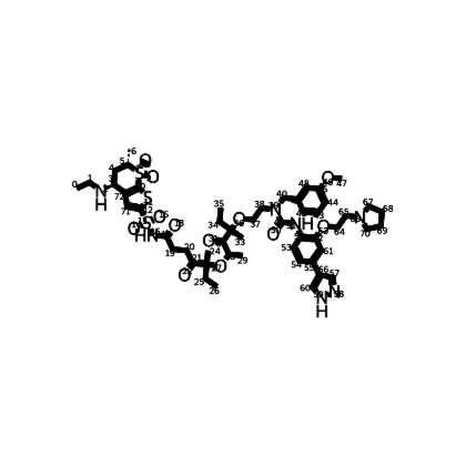 CCN[C@H]1C[C@H](C)S(=O)(=O)c2sc(S(=O)(=O)NC(=O)CCC(=O)C(C)(CC)OC(C)C(=O)C(C)(CC)OCCN(Cc3cccc(OC)c3)C(=O)Nc3ccc(-c4cn[nH]c4)cc3OCCN3CCCC3)cc21